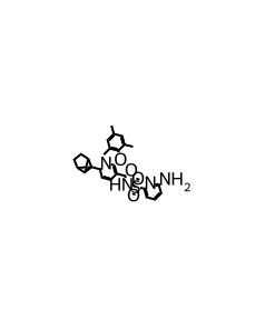 Cc1cc(C)c(Oc2nc(C3=CC4CCC3C4)ccc2C(=O)NS(=O)(=O)c2cccc(N)n2)c(C)c1